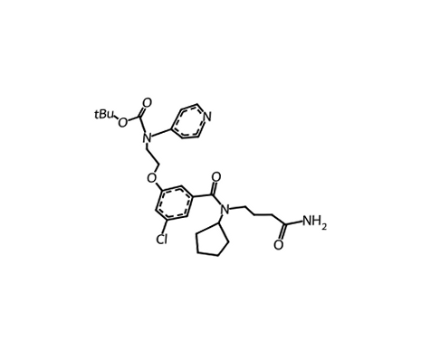 CC(C)(C)OC(=O)N(CCOc1cc(Cl)cc(C(=O)N(CCCC(N)=O)C2CCCC2)c1)c1ccncc1